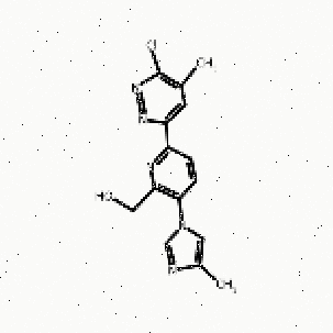 Cc1cn(-c2ccc(-c3cc(C)c(Cl)nn3)nc2CO)cn1